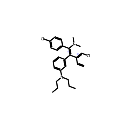 C=CC(=C\Cl)/C(=C(/c1ccc(Cl)cc1)N(C)C)c1cccc(N(CCC)CCC)c1